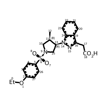 CCOc1ccc(S(=O)(=O)N2C[C@@H](C)[C@@H](n3nc(CC(=O)O)c4ccccc43)C2)cc1